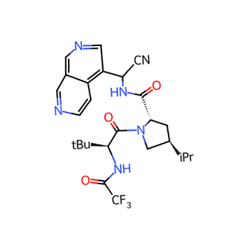 CC(C)[C@@H]1C[C@@H](C(=O)NC(C#N)c2cncc3cnccc23)N(C(=O)[C@@H](NC(=O)C(F)(F)F)C(C)(C)C)C1